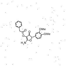 COc1ccc(C2OC(N)=C(OS(=O)Cc3ccccc3)C2=O)cc1OC